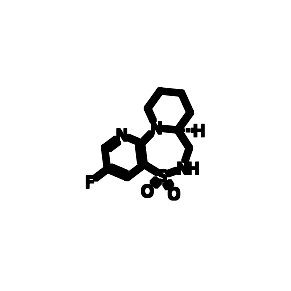 O=S1(=O)NC[C@@H]2CCCCN2c2ncc(F)cc21